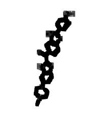 CN1CCN(c2ccc3nc(C(=O)c4ccc5nc(-c6ccc(O)cc6)[nH]c5c4)[nH]c3c2)CC1